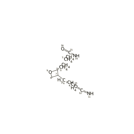 C.C.C.C.C.C.CC1COC1.N=C=O.N=C=O